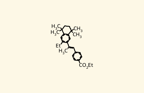 CCOC(=O)c1ccc(C=C(C)c2cc3c(cc2CC)C(C)(C)CCC3(C)C)cc1